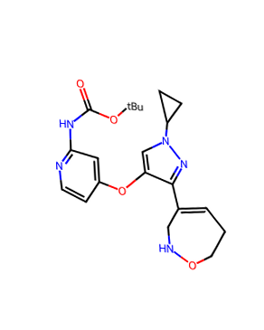 CC(C)(C)OC(=O)Nc1cc(Oc2cn(C3CC3)nc2C2=CCCONC2)ccn1